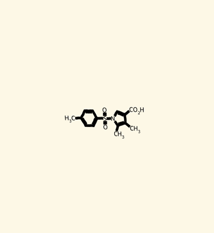 Cc1ccc(S(=O)(=O)n2cc(C(=O)O)c(C)c2C)cc1